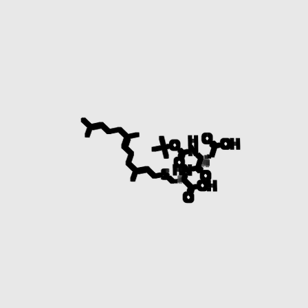 CC(C)=CCCC(C)=CCCC(C)=CCSC[C@H](NC(=O)[C@@H](CC(=O)O)NC(=O)OC(C)(C)C)C(=O)O